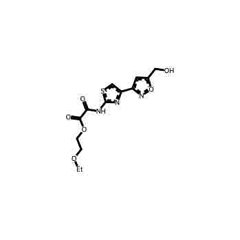 CCOCCOC(=O)C(=O)Nc1nc(-c2cc(CO)on2)cs1